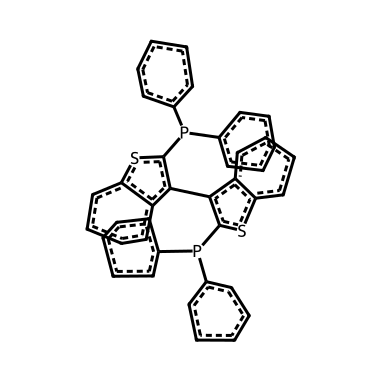 c1ccc(P(c2ccccc2)c2sc3ccccc3c2-c2c(P(c3ccccc3)c3ccccc3)sc3ccccc23)cc1